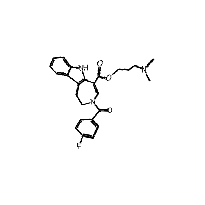 CN(C)CCCOC(=O)C1=CN(C(=O)c2ccc(F)cc2)CCc2c1[nH]c1ccccc21